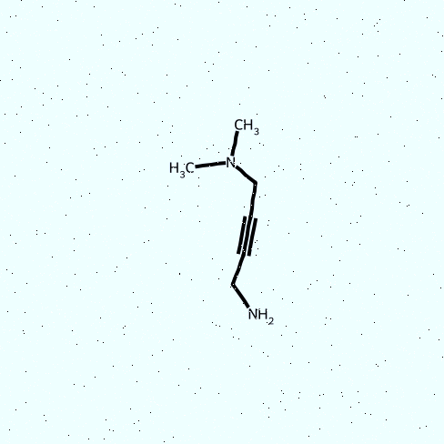 CN(C)CC#CCN